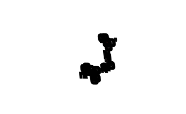 C=CCCOCC(COCCC=C)(COCCCCN1CCN(c2ccc(C(=O)C(C)(C)N3CCN(CCCCOCC(COCCC)(COCCOC(=O)C=C)COCCOC(=O)C=C)CC3)cc2)CC1)COCCOC(=O)C=C